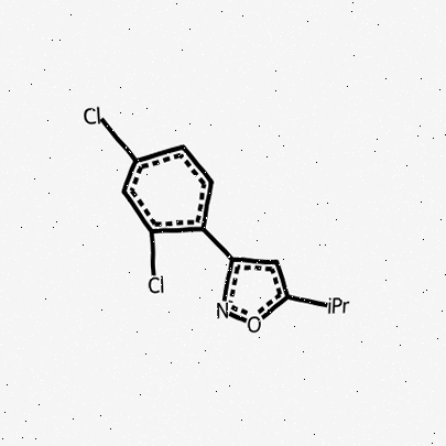 CC(C)c1cc(-c2ccc(Cl)cc2Cl)no1